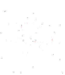 C=C(CC(=O)OCC)C(=O)OCC.C=CC(=O)OCC(C)C.C=COC(=O)CCl